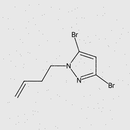 C=CCCn1nc(Br)cc1Br